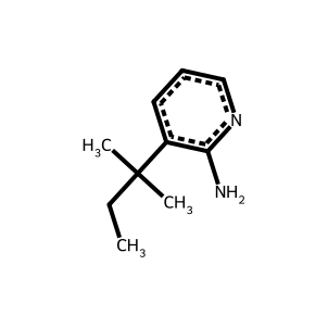 CCC(C)(C)c1cccnc1N